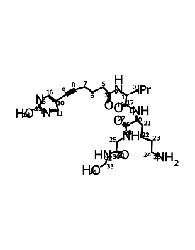 CC(C)[C@H](NC(=O)CCCC#Cc1cnc(O)nc1)C(=O)N[C@@H](CCCCN)C(=O)NCC(=O)NCO